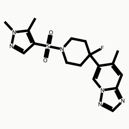 Cc1cc2ncnn2cc1C1(F)CCN(S(=O)(=O)c2cnn(C)c2C)CC1